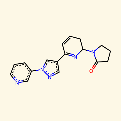 O=C1CCCN1C1CC=CC(c2cnn(-c3cccnc3)c2)=N1